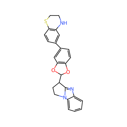 c1ccc2c(c1)nc1n2CCC1C1Oc2ccc(-c3ccc4c(c3)NCCS4)cc2O1